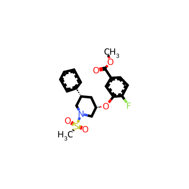 COC(=O)c1ccc(F)c(O[C@H]2C[C@@H](c3ccccc3)CN(S(C)(=O)=O)C2)c1